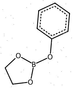 c1ccc(OB2OCCO2)cc1